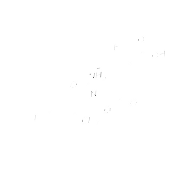 Cc1cc(I)ccc1[N+]1(C(N)=O)COC(=O)c2cc(C(=O)O)c(F)c(F)c21